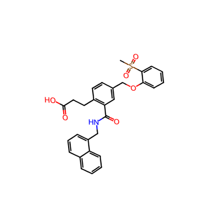 CS(=O)(=O)c1ccccc1OCc1ccc(CCC(=O)O)c(C(=O)NCc2cccc3ccccc23)c1